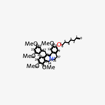 C=CCCCCCOc1cc2c(cc1OC)-c1c(Cc3cc(OC)cc(OC)c3)c3ccc(OC)c(OC)c3c[n+]1CC2